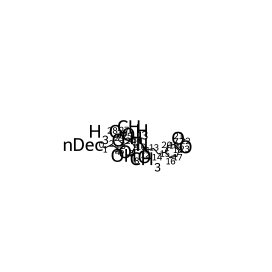 CCCCCCCCCCCCC(O)[C@@]12O[C@@H](C)C(NC(=O)CCc3ccc4c(c3)OCO4)[C@H]1OC(C)(C)O2